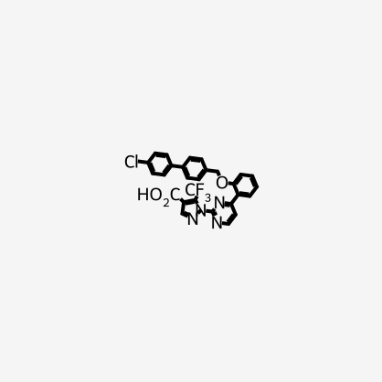 O=C(O)c1cnn(-c2nccc(-c3ccccc3OCc3ccc(-c4ccc(Cl)cc4)cc3)n2)c1C(F)(F)F